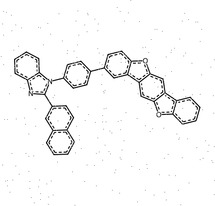 c1ccc2cc(-c3nc4ccccc4n3-c3ccc(-c4ccc5oc6cc7c(cc6c5c4)oc4ccccc47)cc3)ccc2c1